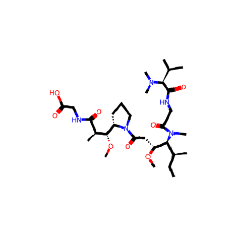 CC[C@H](C)[C@@H]([C@@H](CC(=O)N1CCC[C@H]1[C@H](OC)[C@@H](C)C(=O)NCC(=O)O)OC)N(C)C(=O)CNC(=O)[C@H](C(C)C)N(C)C